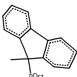 CCCCCCCCC1(C)c2ccccc2-c2ccccc21